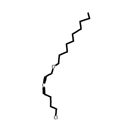 CCCCCCCCCCOCC=C=CCCCCl